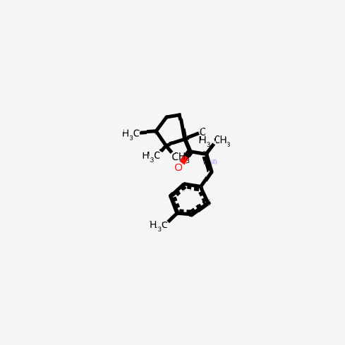 C/C(=C/c1ccc(C)cc1)C(=O)C1(C)CCC(C)C1(C)C